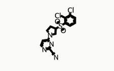 N#Cc1nccc(N2CCC(S(=O)(=O)c3cccc(Cl)c3Cl)C2)n1